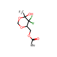 CCC(C)C(=O)OCC1OCOC(O)(C(F)(F)F)C1(F)F